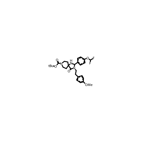 COc1ccc(CCN2C(=O)C3(CCN(C(=O)OC(C)(C)C)CC3)NC2c2ccc(OC(F)F)cc2)cc1